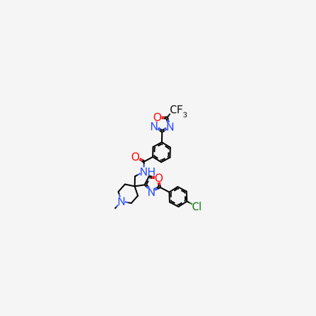 CN1CCC(CNC(=O)c2cccc(-c3noc(C(F)(F)F)n3)c2)(c2coc(-c3ccc(Cl)cc3)n2)CC1